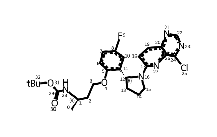 C[C@H](CCOc1ccc(F)cc1[C@H]1CCCN1c1ccc2ncnc(Cl)c2n1)NC(=O)OC(C)(C)C